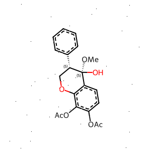 CO[C@]1(O)c2ccc(OC(C)=O)c(OC(C)=O)c2OC[C@@H]1c1ccccc1